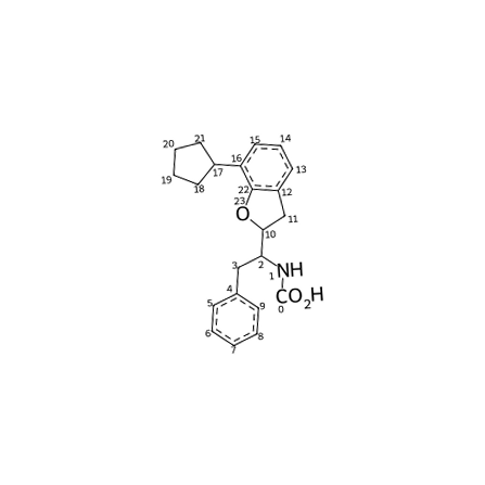 O=C(O)NC(Cc1ccccc1)C1Cc2cccc(C3CCCC3)c2O1